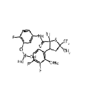 [2H]C1(C(=O)Nc2ccc(F)c(OB(O)O)c2)SC(C)(C(F)(F)F)CC1c1ccc(F)c(F)c1OC